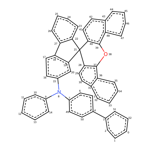 c1ccc(-c2ccc(N(c3ccccc3)c3ccc4c(c3)C3(c5ccccc5-4)c4ccc5ccccc5c4Oc4c3ccc3ccccc43)cc2)cc1